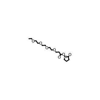 CCOCCOCCOCCOCCC(=O)ON1CCCC1=O